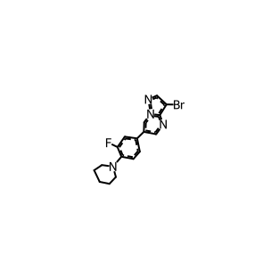 Fc1cc(-c2cnc3c(Br)cnn3c2)ccc1N1CCCCC1